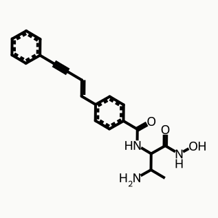 CC(N)C(NC(=O)c1ccc(C=CC#Cc2ccccc2)cc1)C(=O)NO